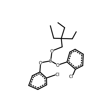 CCC(CC)(CC)COB(Oc1ccccc1Cl)Oc1ccccc1Cl